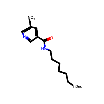 CCCCCCCCCCCCCCCCNC(=O)c1[c]ncc([N+](=O)[O-])c1